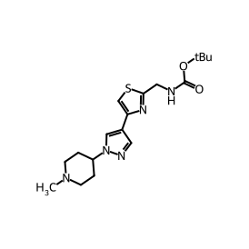 CN1CCC(n2cc(-c3csc(CNC(=O)OC(C)(C)C)n3)cn2)CC1